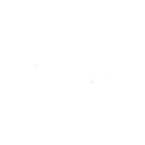 CCCCCCCCCCc1cnc(-c2ccc(OCCC[C@H]3CC[C@H](C)CC3)cc2)nc1